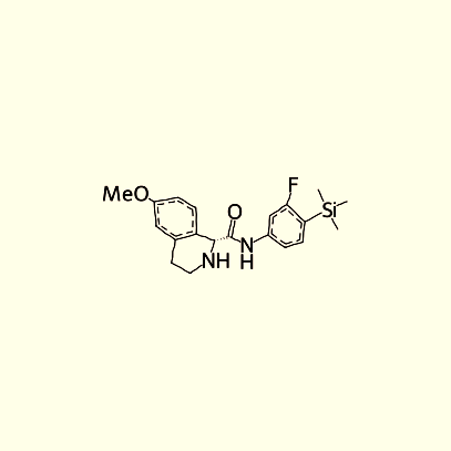 COc1ccc2c(c1)CCN[C@H]2C(=O)Nc1ccc([Si](C)(C)C)c(F)c1